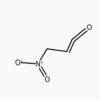 O=C=CC[N+](=O)[O-]